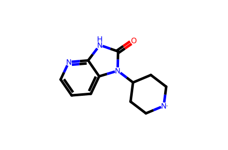 O=c1[nH]c2ncccc2n1C1CC[N]CC1